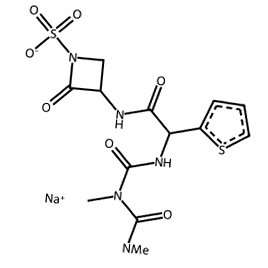 CNC(=O)N(C)C(=O)NC(C(=O)NC1CN(S(=O)(=O)[O-])C1=O)c1cccs1.[Na+]